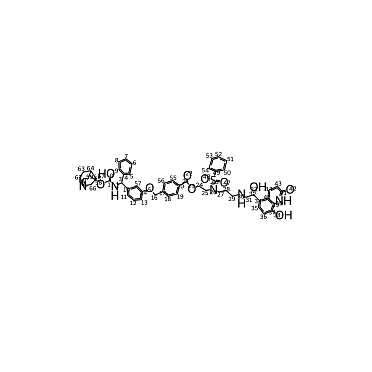 O=C(NC(c1ccccc1)c1cccc(OCc2ccc(C(=O)OCCN(CCCNC[C@H](O)c3ccc(O)c4[nH]c(=O)ccc34)S(=O)(=O)c3ccccc3)cc2)c1)O[C@H]1CN2CCC1CC2